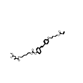 C=CC(=O)OCCCCOc1ccc(/C=C/c2ccc(OC(=O)OCCCCOC(=O)C(=C)CC(=O)OC)cc2)cc1